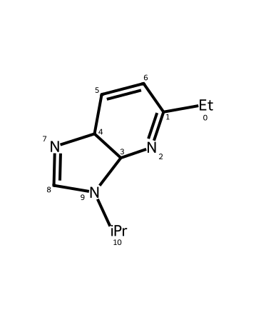 CCC1=NC2C(C=C1)N=CN2C(C)C